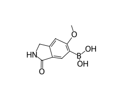 COc1cc2c(cc1B(O)O)C(=O)NC2